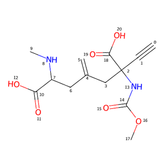 C#CC(CC(=C)CC(NC)C(=O)O)(NC(=O)OC)C(=O)O